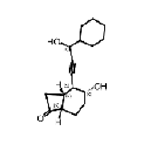 O=C1C[C@@H]2[C@@H](C#C[C@@H](O)C3CCCCC3)[C@H](O)CC[C@H]12